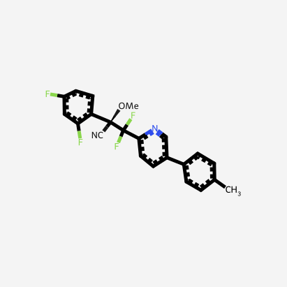 CO[C@@](C#N)(c1ccc(F)cc1F)C(F)(F)c1ccc(-c2ccc(C)cc2)cn1